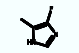 Cc1[nH]cnc1F